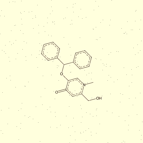 Cn1cc(OC(c2ccccc2)c2ccccc2)c(=O)cc1CO